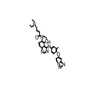 CCN(CC)C/C=C/C(=O)N1CCOc2c1ccc1ncnc(Nc3ccc(Oc4ccn5ncnc5c4)c(C)c3)c21